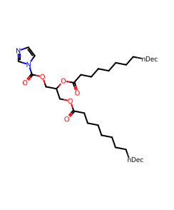 CCCCCCCCCCCCCCCCCC(=O)OCC(COC(=O)n1ccnc1)OC(=O)CCCCCCCCCCCCCCCCC